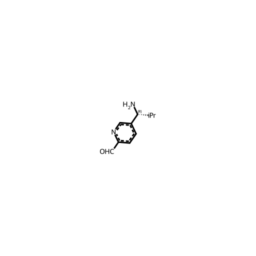 CC(C)[C@@H](N)c1ccc(C=O)nc1